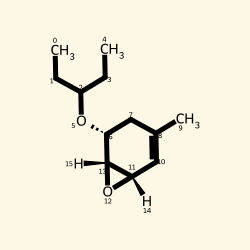 CCC(CC)O[C@@H]1CC(C)=C[C@@H]2O[C@@H]21